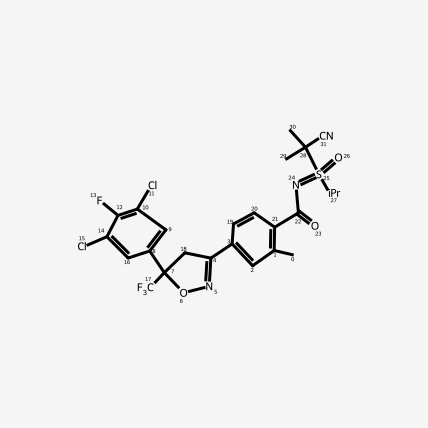 Cc1cc(C2=NOC(c3cc(Cl)c(F)c(Cl)c3)(C(F)(F)F)C2)ccc1C(=O)N=S(=O)(C(C)C)C(C)(C)C#N